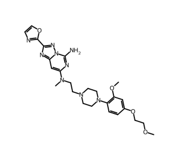 COCCOc1ccc(N2CCN(CCN(C)c3cc4nc(-c5ncco5)nn4c(N)n3)CC2)c(OC)c1